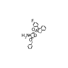 N[C@H]1C[C@H](C(=O)N2CCc3ccccc3[C@@H]2c2ccc(F)cc2)OC[C@@H]1OCc1ccccc1